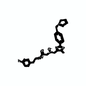 Cc1oc(-c2ccc(CN3CCCC3)cc2)nc1C[S+]([O-])CC(=O)NCCc1ccc(F)cc1